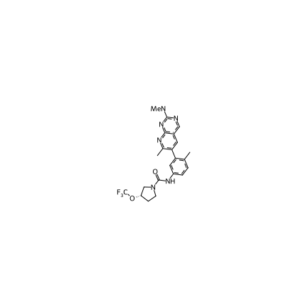 CNc1ncc2cc(-c3cc(NC(=O)N4CC[C@H](OC(F)(F)F)C4)ccc3C)c(C)nc2n1